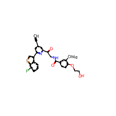 C#Cc1cc(C(=O)CNC(=O)c2ccc(OCCO)c(OC)c2)nc(-c2csc3c(F)cccc23)c1